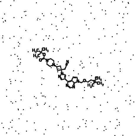 CC(C)(C)OC(=O)N1CCN([C@H]2C[C@](CC#N)(n3cc(-c4ncnc5c4ccn5COCC[Si](C)(C)C)cn3)C2)CC1